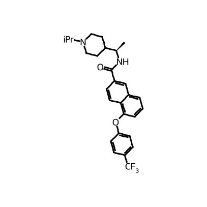 CC(C)N1CCC([C@@H](C)NC(=O)c2ccc3c(Oc4ccc(C(F)(F)F)cc4)cccc3c2)CC1